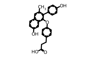 Cc1cc2ccc(O)cc2c(Oc2ccc(CCC(=O)O)cc2)c1-c1ccc(O)cc1